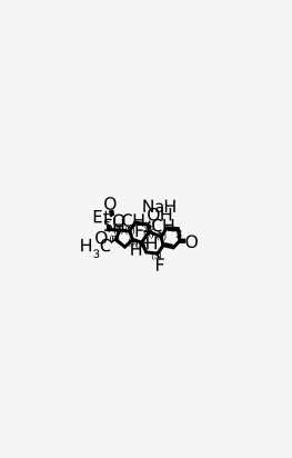 CCC(=O)O[C@]1(C(=O)S)[C@H](C)C[C@H]2[C@@H]3C[C@H](F)C4=CC(=O)C=C[C@]4(C)[C@@]3(F)[C@@H](O)C[C@@]21C.[NaH]